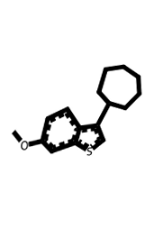 COc1ccc2c(C3CCCCCC3)csc2c1